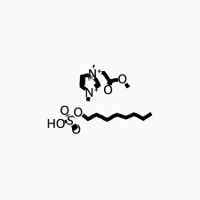 CCCCCCCCOS(=O)(=O)O.COC(=O)C[N@+]1(C)C=C[N+](C)=C1